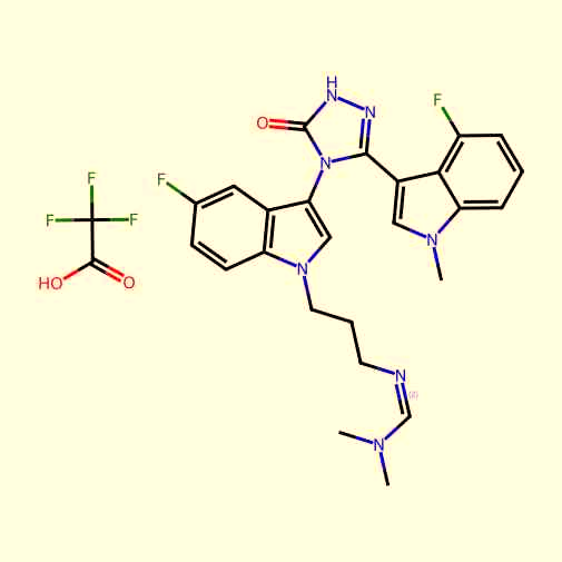 CN(C)/C=N\CCCn1cc(-n2c(-c3cn(C)c4cccc(F)c34)n[nH]c2=O)c2cc(F)ccc21.O=C(O)C(F)(F)F